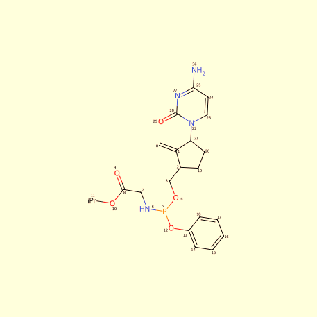 C=C1C(COP(NCC(=O)OC(C)C)Oc2ccccc2)CCC1n1ccc(N)nc1=O